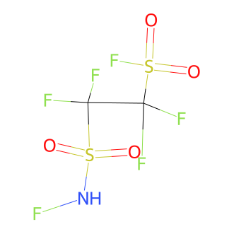 O=S(=O)(F)C(F)(F)C(F)(F)S(=O)(=O)NF